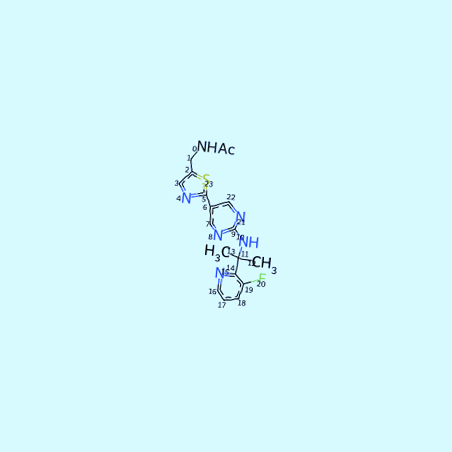 CC(=O)NCc1cnc(-c2cnc(NC(C)(C)c3ncccc3F)nc2)s1